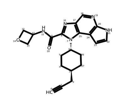 C#CC[C@H]1CC[C@H](n2c(C(=O)NC3COC3)nc3cnc4[nH]ccc4c32)CC1